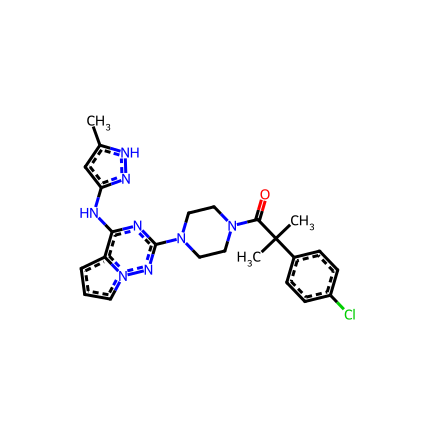 Cc1cc(Nc2nc(N3CCN(C(=O)C(C)(C)c4ccc(Cl)cc4)CC3)nn3cccc23)n[nH]1